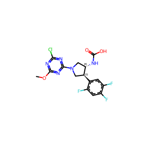 COc1nc(Cl)nc(N2C[C@H](NC(=O)O)[C@@H](c3cc(F)c(F)cc3F)C2)n1